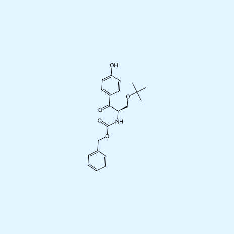 CC(C)(C)OC[C@@H](NC(=O)OCc1ccccc1)C(=O)c1ccc(O)cc1